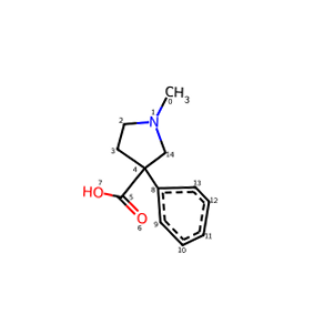 CN1CCC(C(=O)O)(c2ccccc2)C1